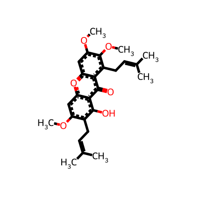 COc1cc2oc3cc(OC)c(OC)c(CC=C(C)C)c3c(=O)c2c(O)c1CC=C(C)C